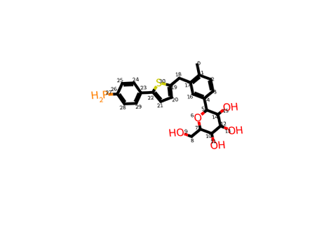 Cc1ccc(C2OC(CO)C(O)C(O)C2O)cc1Cc1ccc(-c2ccc(P)cc2)s1